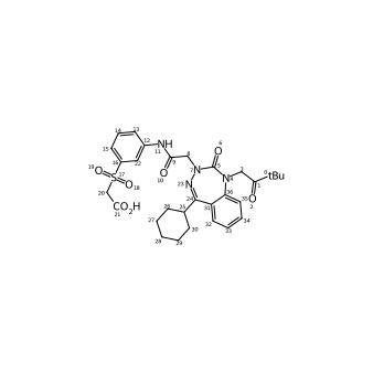 CC(C)(C)C(=O)CN1C(=O)N(CC(=O)Nc2cccc(S(=O)(=O)CC(=O)O)c2)N=C(C2CCCCC2)c2ccccc21